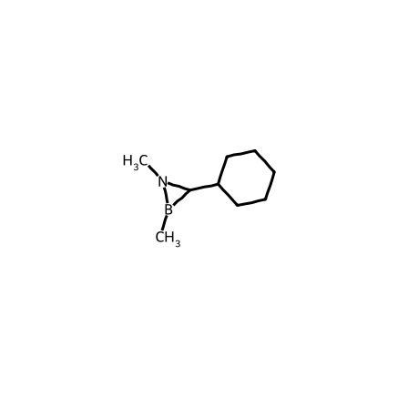 CB1C(C2CCCCC2)N1C